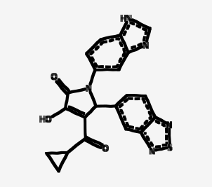 O=C(C1=C(O)C(=O)N(c2ccc3[nH]cnc3c2)C1c1ccc2nsnc2c1)C1CC1